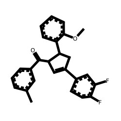 COc1ccccc1C1CC(c2ccc(F)c(F)c2)=CC1C(=O)c1cccc(C)c1